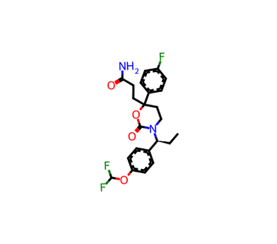 CC[C@@H](c1ccc(OC(F)F)cc1)N1CCC(CCC(N)=O)(c2ccc(F)cc2)OC1=O